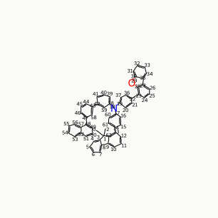 CC1(C)c2ccccc2-c2cccc(-c3ccc(N(c4ccc(-c5cccc6c5oc5ccccc56)cc4)c4cccc(-c5cccc(-c6cccc7ccccc67)c5)c4)cc3)c21